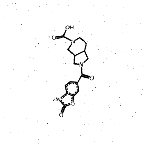 O=C(O)N1CCC2CN(C(=O)c3ccc4[nH]c(=O)oc4c3)CC2C1